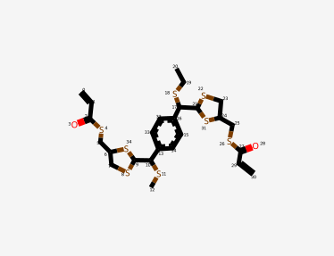 C=CC(=O)SCC1CSC(C(SC)c2ccc(C(SCC)C3SCC(CSC(=O)C=C)S3)cc2)S1